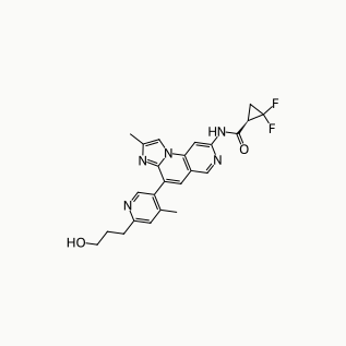 Cc1cn2c(n1)c(-c1cnc(CCCO)cc1C)cc1cnc(NC(=O)[C@H]3CC3(F)F)cc12